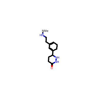 CNNCCC1=CCCC(C2CCC(=O)NN2)=C1